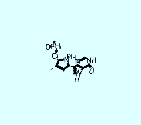 C[C@H]1C[C@H](c2c[nH]c3c(=O)[nH]cnc23)N(P)[C@@H]1OC[PH](C)=O